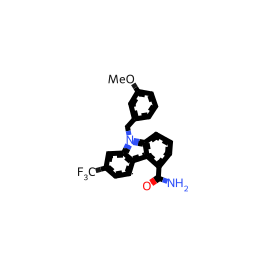 COc1cccc(Cn2c3cc(C(F)(F)F)c[c]c3c3c(C(N)=O)cccc32)c1